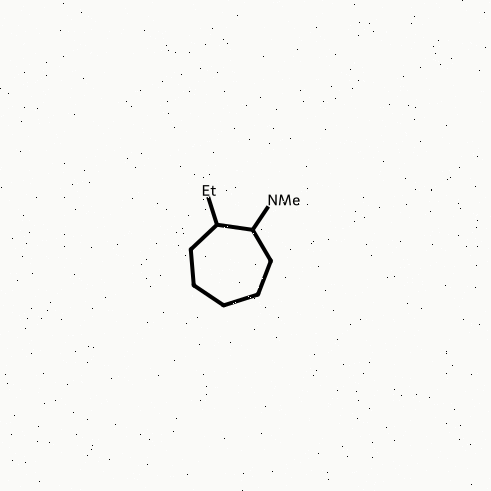 CCC1CCCCCC1NC